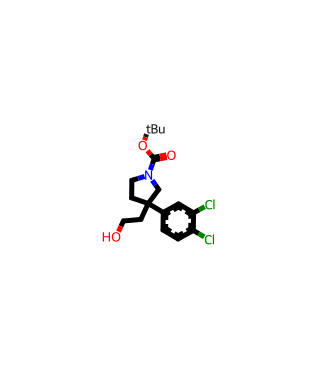 CC(C)(C)OC(=O)N1CCC(CCO)(c2ccc(Cl)c(Cl)c2)C1